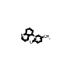 Cc1ccc(=O)n(-c2cccc3ncccc23)c1